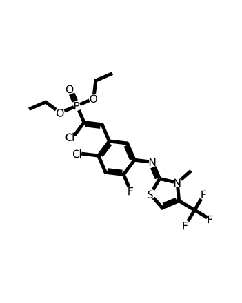 CCOP(=O)(OCC)/C(Cl)=C/c1cc(/N=c2\scc(C(F)(F)F)n2C)c(F)cc1Cl